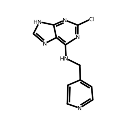 Clc1nc(NCc2ccncc2)c2nc[nH]c2n1